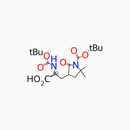 CC(C)(C)OC(=O)N[C@@H](CC1CC(C)(C)N(C(=O)OC(C)(C)C)C1=O)C(=O)O